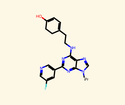 CC(C)n1cnc2c(NCCC3=CC=C(O)CC3)nc(-c3cncc(F)c3)nc21